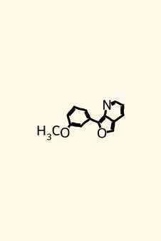 COc1cccc(-c2occ3cccnc23)c1